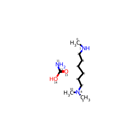 CNCCCCCCN(C)C.NC(=O)O